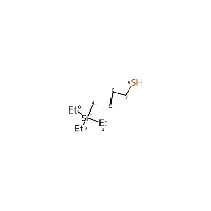 CC[Si](CC)(CC)CCCCS